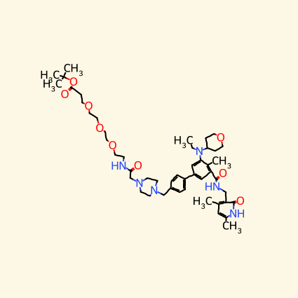 CCN(c1cc(-c2ccc(CN3CCN(CC(=O)NCCOCCOCCOCCC(=O)OC(C)(C)C)CC3)cc2)cc(C(=O)NCc2c(C)cc(C)[nH]c2=O)c1C)C1CCOCC1